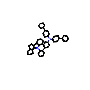 C1=CCC(c2ccc(N(c3ccc(-c4ccccc4)cc3)c3ccc(-c4ccccc4-n4c5ccccc5c5ccc6ccccc6c54)cc3)cc2)CC1